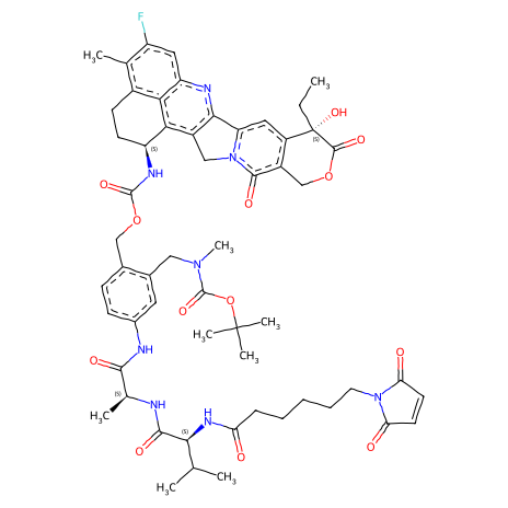 CC[C@@]1(O)C(=O)OCc2c1cc1n(c2=O)Cc2c-1nc1cc(F)c(C)c3c1c2[C@@H](NC(=O)OCc1ccc(NC(=O)[C@H](C)NC(=O)[C@@H](NC(=O)CCCCCN2C(=O)C=CC2=O)C(C)C)cc1CN(C)C(=O)OC(C)(C)C)CC3